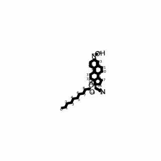 CCCCCCCCCC(=O)O[C@@]1(CC#N)CCC2C3CCC4=CC(=NO)CCC4=C3CC[C@@]21C